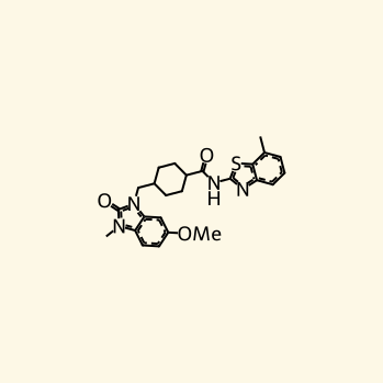 COc1ccc2c(c1)n(CC1CCC(C(=O)Nc3nc4cccc(C)c4s3)CC1)c(=O)n2C